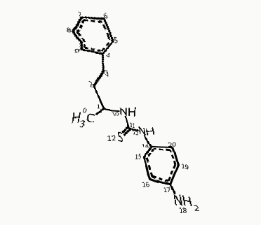 CC(CCc1ccccc1)NC(=S)Nc1ccc(N)cc1